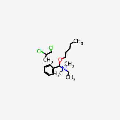 CC(Cl)CCl.CCCCCOC(c1ccccc1)[N+](C)(C)CC